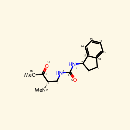 CN[C@@H](CNC(=O)N[C@@H]1CCc2ccccc21)C(=O)OC